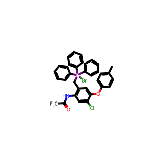 Cc1ccc(Oc2cc(CP(Br)(c3ccccc3)(c3ccccc3)c3ccccc3)c(NC(=O)C(F)(F)F)cc2Cl)cc1